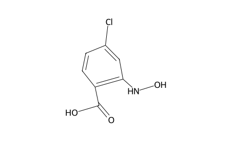 O=C(O)c1ccc(Cl)cc1NO